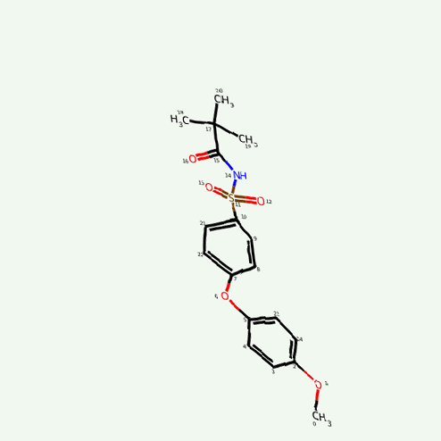 COc1ccc(Oc2ccc(S(=O)(=O)NC(=O)C(C)(C)C)cc2)cc1